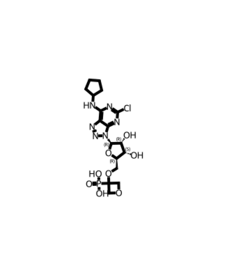 O=P(O)(O)C1(OC[C@H]2O[C@@H](n3nnc4c(NC5CCCC5)nc(Cl)nc43)[C@H](O)[C@@H]2O)COC1